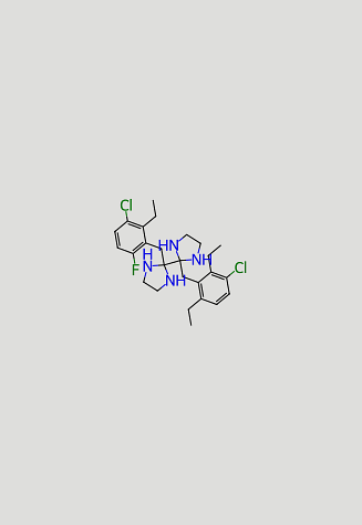 CCc1ccc(Cl)c(CC)c1CC1(C2(Cc3c(F)ccc(Cl)c3CC)NCCN2)NCCN1